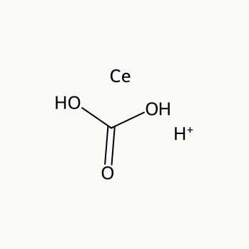 O=C(O)O.[Ce].[H+]